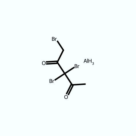 CC(=O)C(Br)(Br)C(=O)CBr.[AlH3]